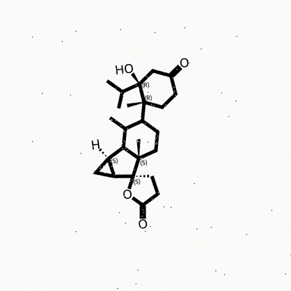 CC1C2[C@@H]3CC3[C@@]3(CCC(=O)O3)[C@@]2(C)CCC1[C@@]1(C)CCC(=O)C[C@@]1(O)C(C)C